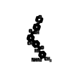 CC(=O)Nc1cc(NC(=O)c2ccc(-c3cc(C(=O)Nc4ccc(N5CCOCC5)cc4)ccc3C)cc2)ccc1C